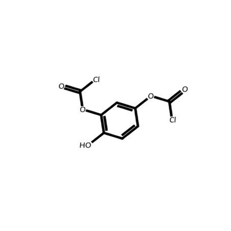 O=C(Cl)Oc1ccc(O)c(OC(=O)Cl)c1